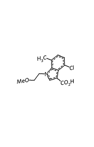 COCCn1cc(C(=O)O)c2c(Cl)ccc(C)c21